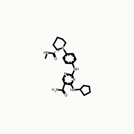 CNC(=O)[C@@H]1CCCCN1c1ccc(Nc2ncc(C(N)=O)c(NC3CCCC3)n2)cc1